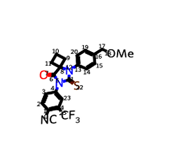 [C-]#[N+]c1ccc(N2C(=O)C3(CCC3)N(c3ccc(COC)cc3)C2=S)cc1C(F)(F)F